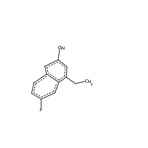 CCc1cc(O)cc2ccc(F)cc12